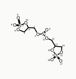 O=S(OCC1COS(=O)(=O)O1)OCC1COS(=O)(=O)O1